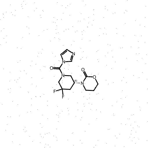 O=C1OCCCN1[C@H]1CN(C(=O)n2ccnc2)CC(F)(F)C1